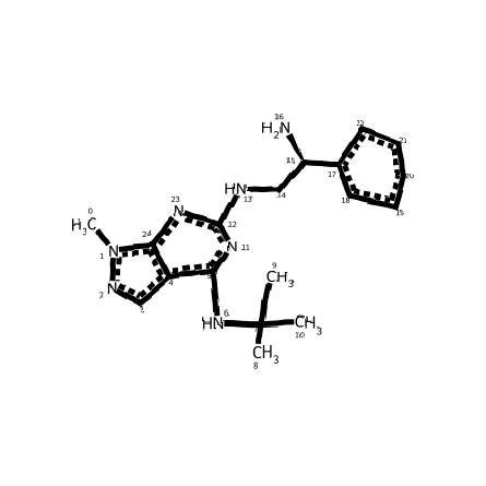 Cn1ncc2c(NC(C)(C)C)nc(NC[C@@H](N)c3ccccc3)nc21